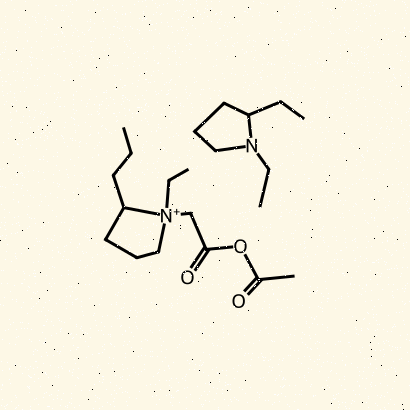 CCC1CCCN1CC.CCCC1CCC[N+]1(CC)CC(=O)OC(C)=O